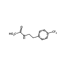 O=C(O)C(=O)NCCc1ccc(C(F)(F)F)cc1